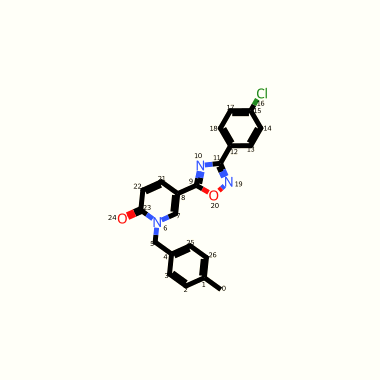 Cc1ccc(Cn2cc(-c3nc(-c4ccc(Cl)cc4)no3)ccc2=O)cc1